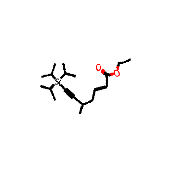 CCOC(=O)/C=C/CC(C)C#C[Si](C(C)C)(C(C)C)C(C)C